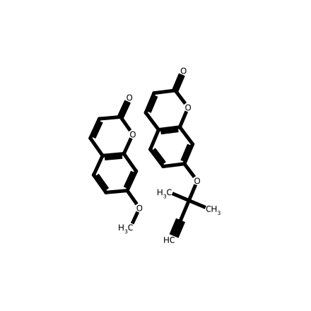 C#CC(C)(C)Oc1ccc2ccc(=O)oc2c1.COc1ccc2ccc(=O)oc2c1